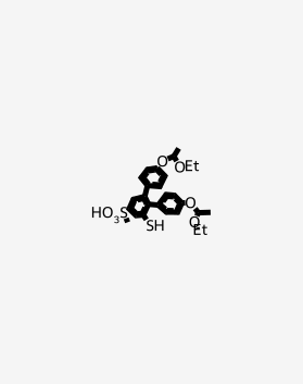 CCOC(C)Oc1ccc(-c2cccc(S)c2-c2ccc(OC(C)OCC)cc2)cc1.CS(=O)(=O)O